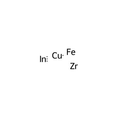 [Cu].[Fe].[In].[Zr]